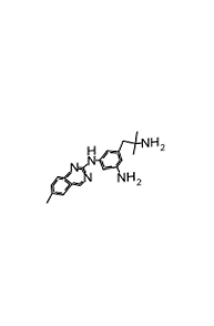 Cc1ccc2nc(Nc3cc(N)cc(CC(C)(C)N)c3)ncc2c1